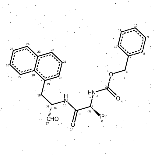 CC(C)[C@H](NC(=O)OCc1ccccc1)C(=O)N[C@H](C=O)Cc1cccc2ccccc12